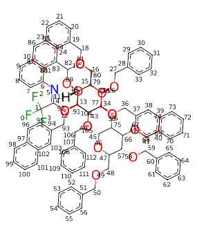 FC(F)(F)/C(=N\c1ccccc1)O[C@H]1OC(COCc2ccccc2)[C@@H](OCc2ccccc2)C(OCc2ccccc2)C1O[C@H]1OC(COCc2ccccc2)[C@@H](OCc2ccccc2)C(OCc2ccccc2)C1O[C@@H]1OC2COC(c3ccccc3)O[C@H]2C(OCc2ccc3ccccc3c2)C1OCc1ccccc1